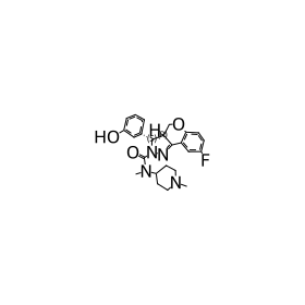 CN1CCC(N(C)C(=O)N2N=C3c4cc(F)ccc4OC[C@@H]3[C@H]2c2cccc(O)c2)CC1